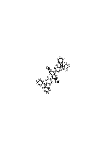 Brc1sc2c(-c3ccc(N(c4ccccc4)c4ccccc4)cc3)c(Br)sc2c1-c1ccc(N(c2ccccc2)c2ccccc2)cc1